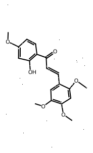 COc1ccc(C(=O)/C=C/c2cc(OC)c(OC)cc2OC)c(O)c1